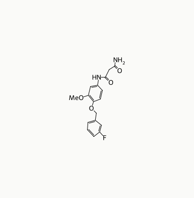 COc1cc(NC(=O)CC(N)=O)ccc1OCc1cccc(F)c1